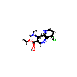 CCOC(=O)c1cnc2c(Cl)ccnc2c1N(C)C